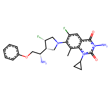 Cc1c(N2C[C@H]([C@H](N)COc3ccccc3)[C@H](F)C2)c(F)cc2c(=O)n(N)c(=O)n(C3CC3)c12